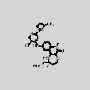 COC[C@]1(C)CCOc2c(c3cc(Nc4nc(-n5ccc(C(F)(F)F)n5)ncc4Cl)ccc3n(C)c2=O)N1